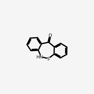 O=C1c2ccccc2NSc2ccccc21